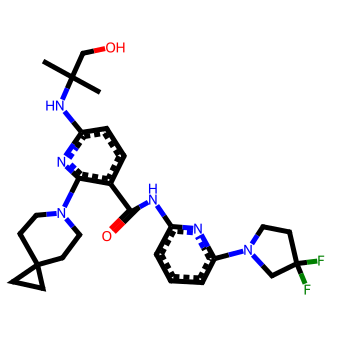 CC(C)(CO)Nc1ccc(C(=O)Nc2cccc(N3CCC(F)(F)C3)n2)c(N2CCC3(CC2)CC3)n1